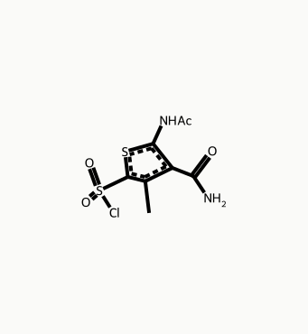 CC(=O)Nc1sc(S(=O)(=O)Cl)c(C)c1C(N)=O